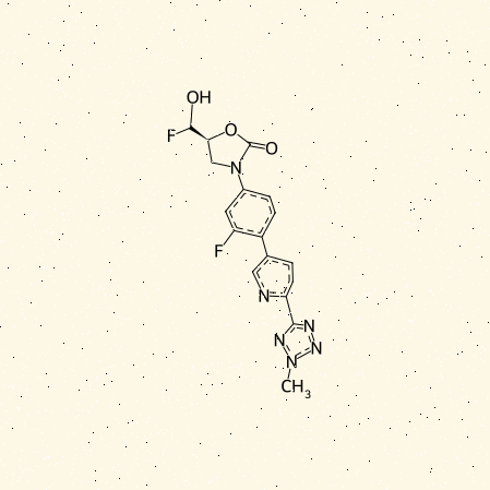 Cn1nnc(-c2ccc(-c3ccc(N4C[C@@H](C(O)F)OC4=O)cc3F)cn2)n1